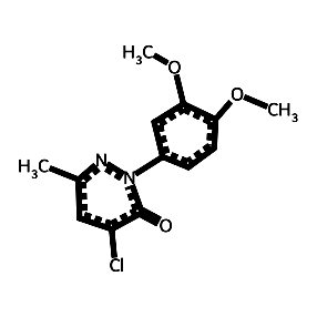 COc1ccc(-n2nc(C)cc(Cl)c2=O)cc1OC